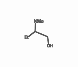 [CH2]NC(CC)CO